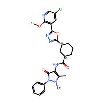 CCn1c(C)c(NC(=O)[C@@H]2CCC[C@H](c3nnc(-c4cc(Cl)cnc4OC(C)C)o3)C2)c(=O)n1-c1ccccc1